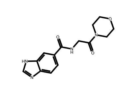 O=C(NCC(=O)N1CCOCC1)c1ccc2nc[nH]c2c1